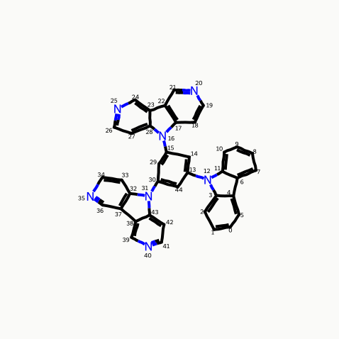 c1ccc2c(c1)c1ccccc1n2-c1cc(-n2c3ccncc3c3cnccc32)cc(-n2c3ccncc3c3cnccc32)c1